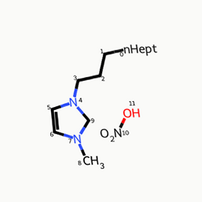 CCCCCCCCCCN1C=CN(C)C1.O=[N+]([O-])O